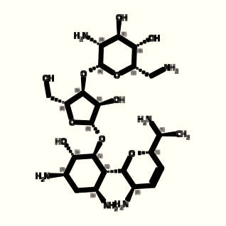 C[C@H](N)[C@@H]1C=C[C@@H](N)C([C@H]2[C@H](O[C@@H]3O[C@H](CO)[C@@H](O[C@H]4O[C@@H](CN)[C@@H](O)[C@H](O)[C@H]4N)[C@H]3O)[C@@H](O)[C@H](N)C[C@@H]2N)O1